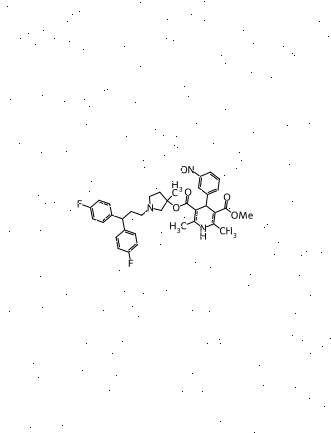 COC(=O)C1=C(C)NC(C)=C(C(=O)OC2(C)CCN(CCC(c3ccc(F)cc3)c3ccc(F)cc3)C2)C1c1cccc(N=O)c1